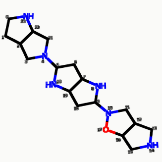 C1CC2CN(C3CC4NC(N5CC6CNCC6O5)CC4N3)CC2N1